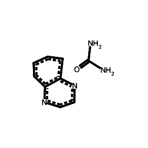 NC(N)=O.c1ccc2nccnc2c1